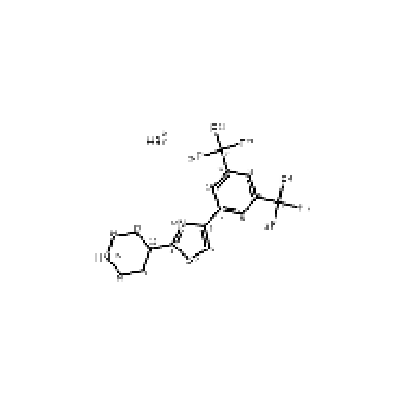 Br.FC(F)(F)c1cc(-c2csc(C3CCNCC3)n2)cc(C(F)(F)F)c1